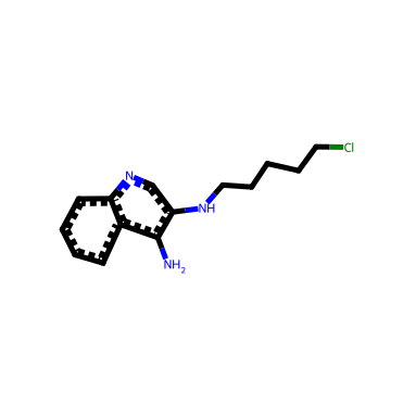 Nc1c(NCCCCCCl)cnc2ccccc12